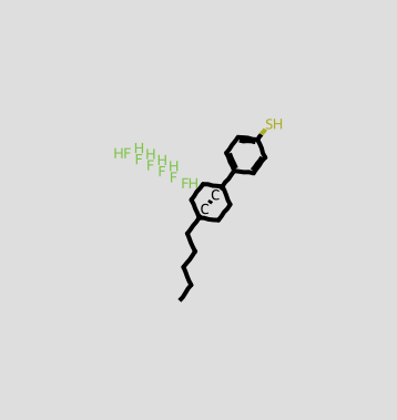 CCCCCC12CCC(c3ccc(S)cc3)(CC1)CC2.F.F.F.F.F.F